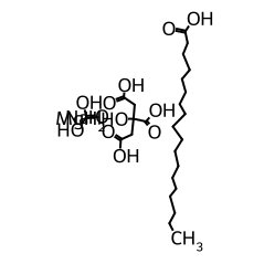 CCCCCCCCCCCCCCCCCC(=O)O.O=C(O)CC(O)(CC(=O)O)C(=O)O.O=C(O)O.[MgH2].[NaH]